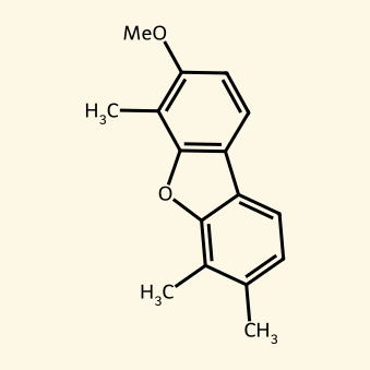 COc1ccc2c(oc3c(C)c(C)ccc32)c1C